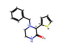 O=C1NCCN(Cc2ccccc2)C1c1cccs1